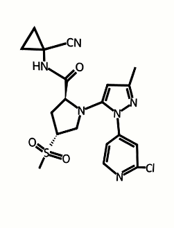 Cc1cc(N2C[C@H](S(C)(=O)=O)C[C@H]2C(=O)NC2(C#N)CC2)n(-c2ccnc(Cl)c2)n1